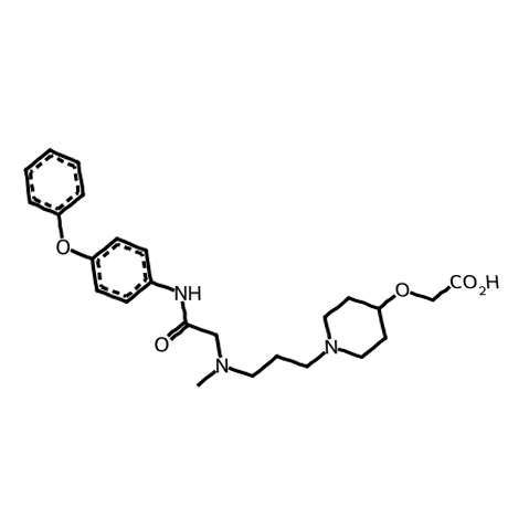 CN(CCCN1CCC(OCC(=O)O)CC1)CC(=O)Nc1ccc(Oc2ccccc2)cc1